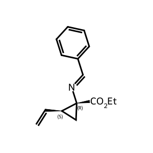 C=C[C@@H]1C[C@]1(N=Cc1ccccc1)C(=O)OCC